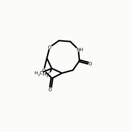 CC1(C)C2OCCNC(=O)CC1C(=O)O2